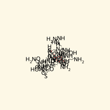 CC[C@H](C)[C@H](NC(=O)[C@H](CCSC)NC(=O)[C@H](CO)NC(=O)[C@@H](N)CC(N)=O)C(=O)N[C@@H](C)C(=O)N[C@@H](Cc1c[nH]cn1)C(=O)N[C@@H](CC(N)=O)C(=O)N[C@@H](CCCCN)C(=O)N[C@H](C(=O)N[C@@H](CCCNC(=N)N)C(=O)N[C@@H](CCSC)C(=O)N[C@@H](Cc1c[nH]cn1)C(=O)O)[C@@H](C)O